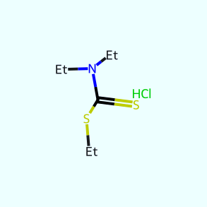 CCSC(=S)N(CC)CC.Cl